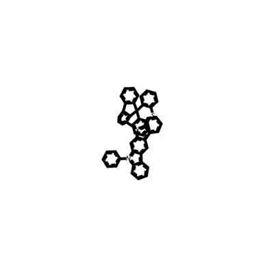 c1ccc(-n2c3ccccc3c3cc4c5ccccc5n(-c5cccc6c5C5(c7ccccc7Sc7ccccc75)c5ccccc5-6)c4cc32)cc1